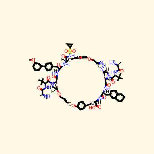 CN[C@@H](C)C(=O)N[C@H](C(=O)N1C[C@@H]2C[C@H]1C(=O)N[C@@H](Cc1ccc3ccccc3c1)C(=O)N[C@H](C(=O)O)Cc1ccc(cc1)OC/C=C/CO[C@H]1C[C@@H](C(=O)N[C@@H](Cc3ccc(-c4cccc(OC)c4)cc3)C(=O)N[C@H](C(=O)NS(=O)(=O)C3CC3)Cc3ccc(cc3)OCc3cn2nn3)N(C(=O)[C@@H](NC(=O)[C@H](C)NC)C(C)(C)C)C1)C(C)(C)C